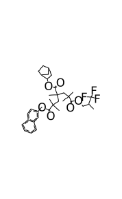 CC(COC(=O)C(C)(C)CC(C)(CC(C)(C)C(=O)Oc1ccc2ccccc2c1)C(=O)OC1CC2CCC1C2)C(F)(F)F